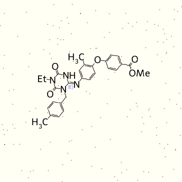 CCn1c(=O)[nH]/c(=N\c2ccc(Oc3ccc(C(=O)OC)cc3)c(C)c2)n(Cc2ccc(C)cc2)c1=O